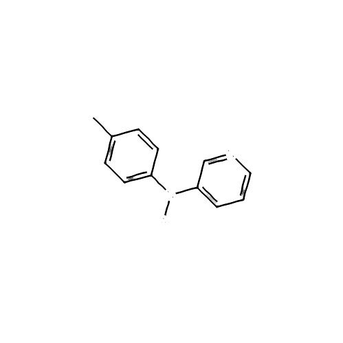 CC(=O)N(c1ccc(C)cc1)c1cccnc1